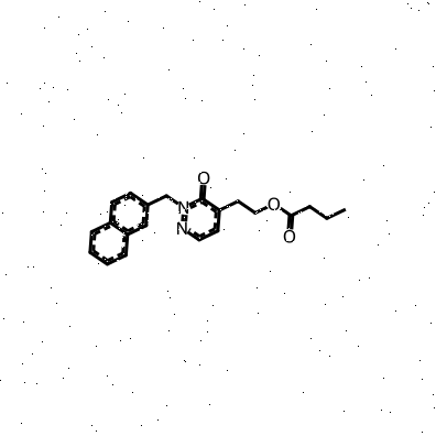 CCCC(=O)OCCc1ccnn(Cc2ccc3ccccc3c2)c1=O